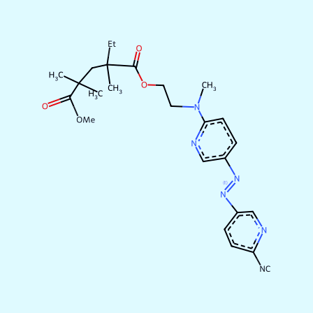 [C-]#[N+]c1ccc(/N=N/c2ccc(N(C)CCOC(=O)C(C)(CC)CC(C)(C)C(=O)OC)nc2)cn1